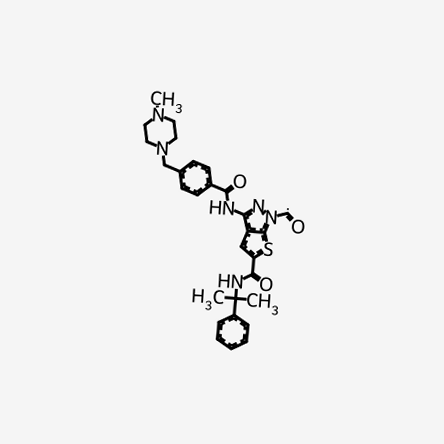 CN1CCN(Cc2ccc(C(=O)Nc3nn([C]=O)c4sc(C(=O)NC(C)(C)c5ccccc5)cc34)cc2)CC1